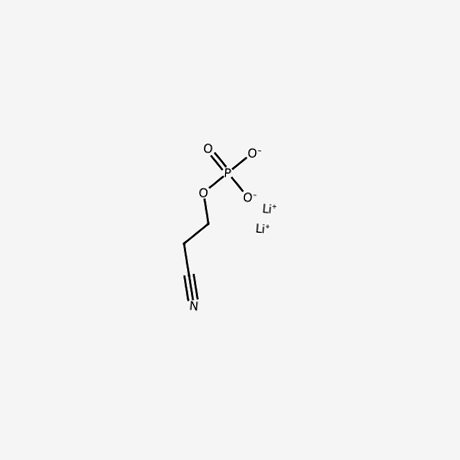 N#CCCOP(=O)([O-])[O-].[Li+].[Li+]